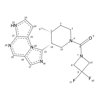 C[C@@H]1CCN(C(=O)N2CC(F)(F)C2)C[C@@H]1c1ncc2cnc3[nH]ccc3n12